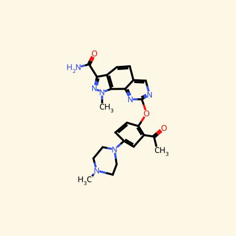 CC(=O)c1cc(N2CCN(C)CC2)ccc1Oc1ncc2ccc3c(C(N)=O)nn(C)c3c2n1